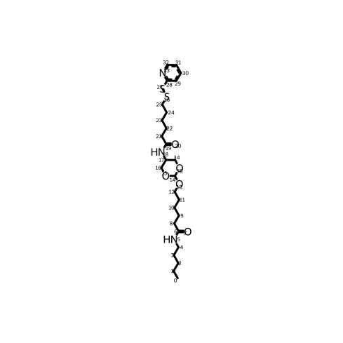 CCCCCNC(=O)CCCCCOC1OCC(NC(=O)CCCCCSSc2ccccn2)CO1